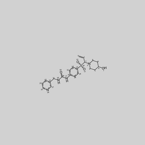 C=CC(N1CCC(O)CC1)S(=O)(=O)c1ccc(NC(=O)NCc2cccnc2)cc1